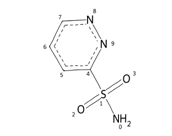 NS(=O)(=O)c1cccnn1